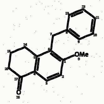 COc1ccc2c(c1Cc1ccccc1)CCCC2=O